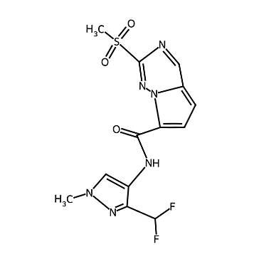 Cn1cc(NC(=O)c2ccc3cnc(S(C)(=O)=O)nn23)c(C(F)F)n1